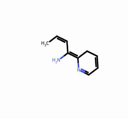 C/C=C\C(N)=C1/CC=CC=N1